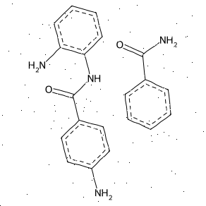 NC(=O)c1ccccc1.Nc1ccc(C(=O)Nc2ccccc2N)cc1